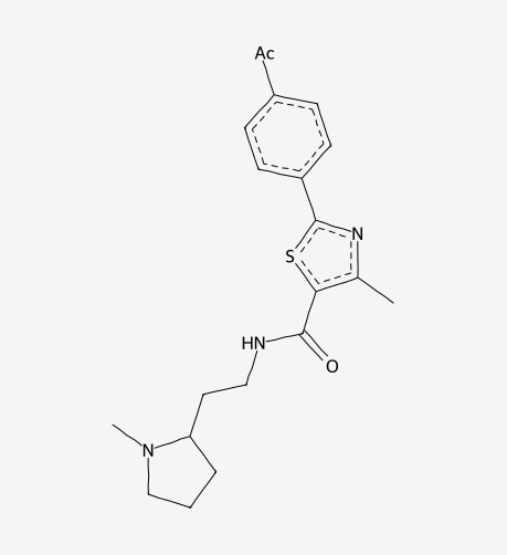 CC(=O)c1ccc(-c2nc(C)c(C(=O)NCCC3CCCN3C)s2)cc1